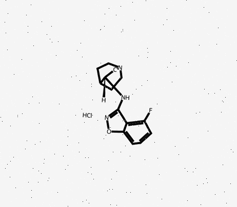 Cl.Fc1cccc2onc(N[C@H]3CN4CCC3CC4)c12